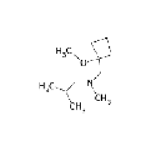 COC1(CN(C)CC(C)C)CCC1